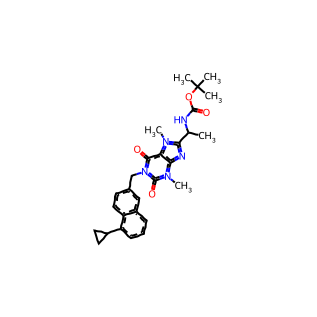 CC(NC(=O)OC(C)(C)C)c1nc2c(c(=O)n(Cc3ccc4c(C5CC5)cccc4c3)c(=O)n2C)n1C